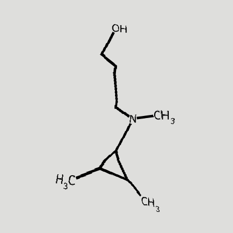 CC1C(C)C1N(C)CCCO